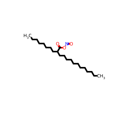 CCCCCCCCCCCCC(CCCCCCCC)C(=O)ON=O